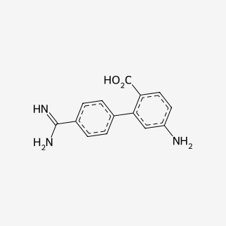 N=C(N)c1ccc(-c2cc(N)ccc2C(=O)O)cc1